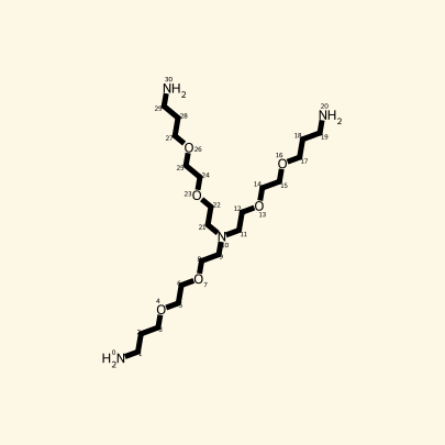 NCCCOCCOCCN(CCOCCOCCCN)CCOCCOCCCN